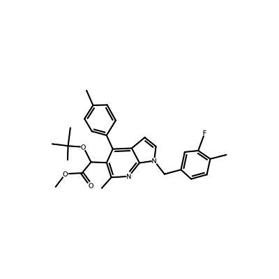 COC(=O)C(OC(C)(C)C)c1c(C)nc2c(ccn2Cc2ccc(C)c(F)c2)c1-c1ccc(C)cc1